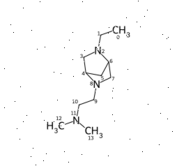 CCN1CC2CC1CN2CCN(C)C